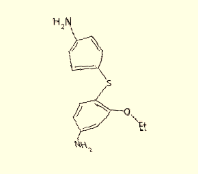 CCOc1cc(N)ccc1Sc1ccc(N)cc1